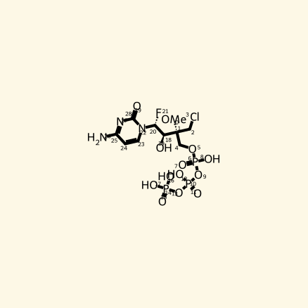 CO[C@](CCl)(COP(=O)(O)OP(=O)(O)OP(=O)(O)O)[C@@H](O)[C@@H](F)n1ccc(N)nc1=O